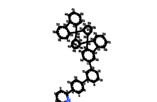 c1ccc(-c2ccc(-c3cccc(-c4ccc5c(c4)-c4ccccc4C54c5ccccc5C5(c6ccccc6-c6ccccc65)c5ccccc54)c3)cc2)nc1